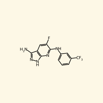 Nc1n[nH]c2nc(Nc3cccc(C(F)(F)F)c3)c(F)cc12